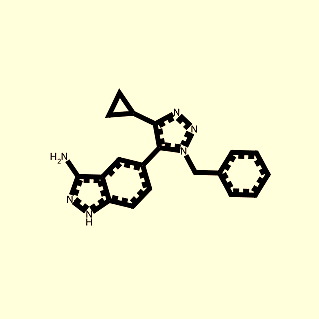 Nc1n[nH]c2ccc(-c3c(C4CC4)nnn3Cc3ccccc3)cc12